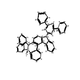 O=P1(c2ccccc2)c2ccccc2-c2c(ccc3c2c2ccccc2n3-c2nc(-c3ccccc3)nc(-c3ccccc3)n2)N1c1ccccc1